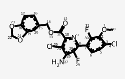 COc1c(Cl)ccc(-c2nc(C(=O)OCc3ccc4c(c3)OCO4)c(Cl)c(N)c2F)c1F